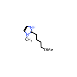 COCCCCc1[nH]cc[n+]1C